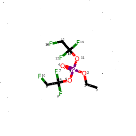 CCOP(=O)(OC(F)(F)CF)OC(F)(F)CF